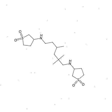 CC(CCNC1CCS(=O)(=O)C1)CC(C)(C)CNC1CCS(=O)(=O)C1